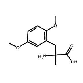 COc1ccc(OC)c(CC(C)(N)C(=O)O)c1